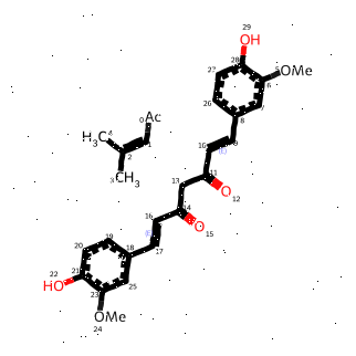 CC(=O)C=C(C)C.COc1cc(/C=C/C(=O)CC(=O)/C=C/c2ccc(O)c(OC)c2)ccc1O